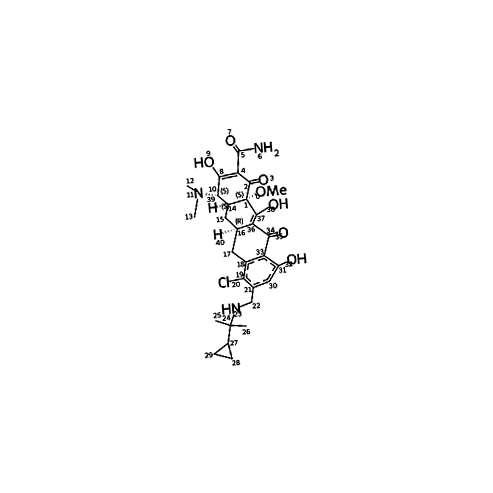 CO[C@@]12C(=O)C(C(N)=O)=C(O)[C@@H](N(C)C)[C@@H]1C[C@@H]1Cc3c(Cl)c(CNC(C)(C)C4CC4)cc(O)c3C(=O)C1=C2O